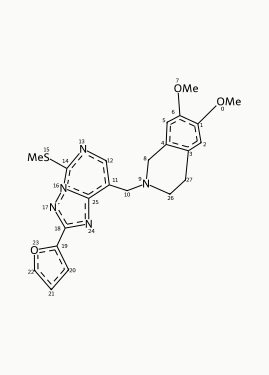 COc1cc2c(cc1OC)CN(Cc1cnc(SC)n3nc(-c4ccco4)nc13)CC2